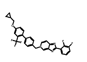 Fc1cccc(-c2nc3ccn(Cc4ccc(-c5ccc(OCC6CC6)cc5C(F)(F)F)cc4)cc-3n2)c1F